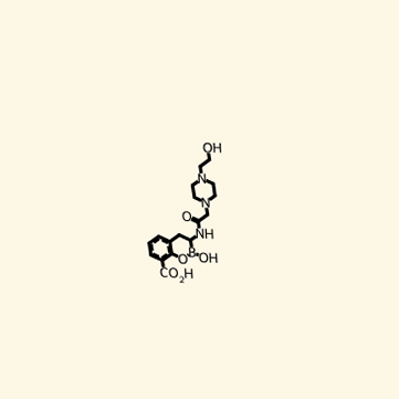 O=C(CN1CCN(CCO)CC1)NC1Cc2cccc(C(=O)O)c2OB1O